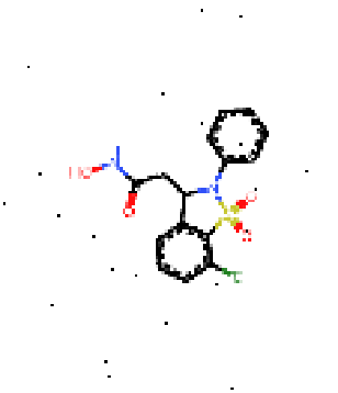 O=C(CC1c2cccc(Cl)c2S(=O)(=O)N1c1ccccc1)NO